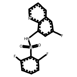 O=S(=O)(Nc1cc(F)cc2cccnc12)c1c(F)cccc1F